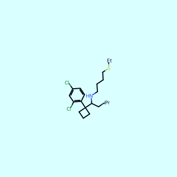 CCSCCCCNC(CC(C)C)C1(c2ccc(Cl)cc2Cl)CCC1